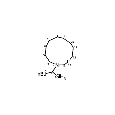 CCCCC([SiH3])N1CCCCCCCCCCC1